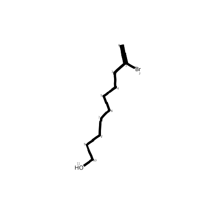 C=C(Br)CCCCCCCCO